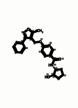 Cc1onc(-c2ccccc2)c1COc1ccc(C(=O)N[C@@H]2CCC[C@H]2O)cn1